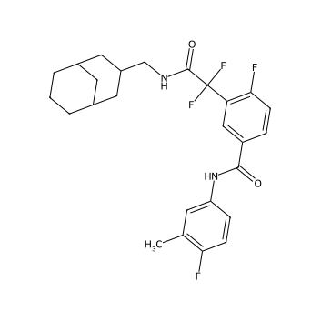 Cc1cc(NC(=O)c2ccc(F)c(C(F)(F)C(=O)NCC3CC4CCCC(C4)C3)c2)ccc1F